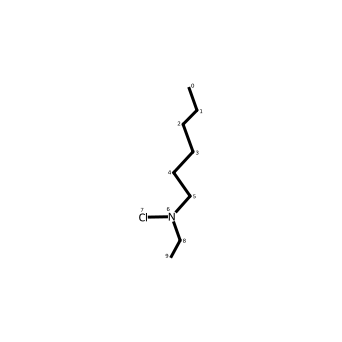 CCCCCCN(Cl)CC